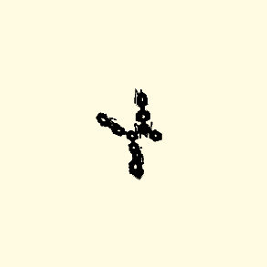 c1ccc(-c2nc(-c3ccc(-c4cccnc4)cc3)nc(-c3cc(-c4ccc5c(c4)sc4ccccc45)cc(-c4ccc5c(c4)sc4ccccc45)c3)n2)cc1